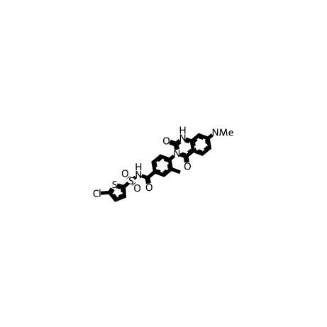 CNc1ccc2c(=O)n(-c3ccc(C(=O)NS(=O)(=O)c4ccc(Cl)s4)cc3C)c(=O)[nH]c2c1